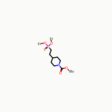 CCOP(=S)(CCC1CCN(C(=O)OC(C)(C)C)CC1)OCC